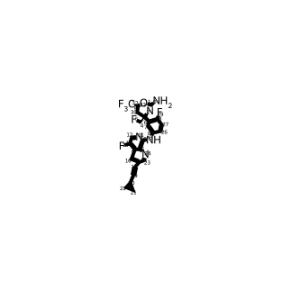 NC1=N[C@](CF)(c2cc(Nc3ncc(F)c4cc(C#CC5CC5)cnc34)ccc2F)C[C@@H](C(F)(F)F)O1